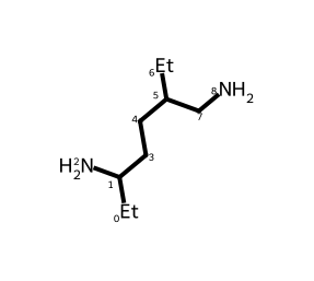 CCC(N)CCC(CC)CN